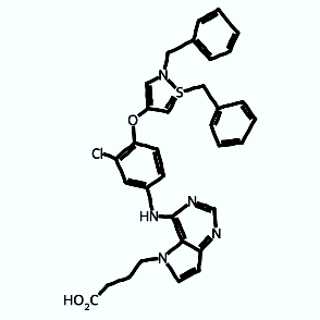 O=C(O)CCCn1ccc2ncnc(Nc3ccc(OC4=CN(Cc5ccccc5)S(Cc5ccccc5)=C4)c(Cl)c3)c21